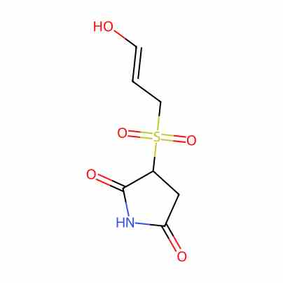 O=C1CC(S(=O)(=O)CC=CO)C(=O)N1